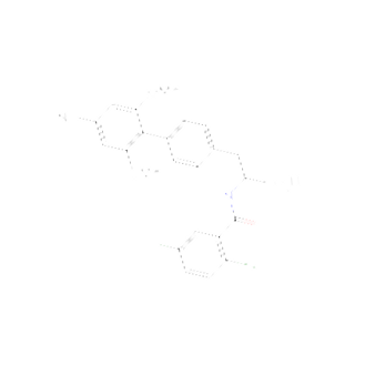 COc1cc(C#N)cc(OC)c1-c1ccc(CC(NC(=O)c2cc(F)ccc2Br)C(=O)O)cc1